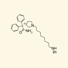 CC(C)NCCCCCCCCN1CC[C@@H](C(C(N)=O)(c2ccccc2)c2ccccc2)C1